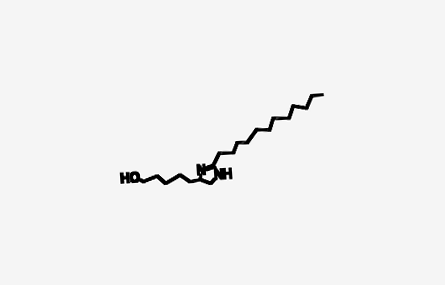 CCCCCCCCCCCCC1=NC(CCCCCO)CN1